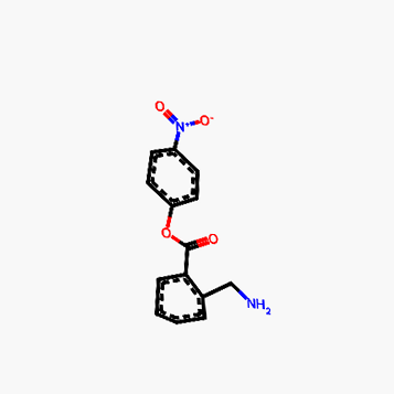 NCc1ccccc1C(=O)Oc1ccc([N+](=O)[O-])cc1